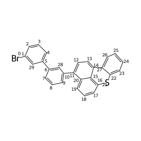 Brc1cccc(-c2cccc(-c3ccc4c5c(cccc35)Sc3ccccc3-4)c2)c1